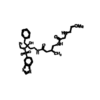 COCCNCC(=O)NCC(C)CC(=O)NCCC(O)(Cc1ccccc1)N(CC(C)C)S(=O)(=O)c1ccc2ncsc2c1